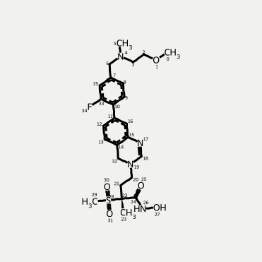 COCCN(C)Cc1ccc(-c2ccc3c(c2)N=CN(CC[C@](C)(C(=O)NO)S(C)(=O)=O)C3)c(F)c1